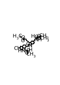 CCOC(=O)CCCCc1cc(CNC(=O)OC(C)(C)C)ccc1NC(=O)CC1CCc2cc(Cl)cc3[nH]c(C(=O)OC)c1c23